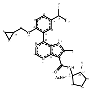 CC(=O)N[C@@]1(NC(=O)c2c(C)[nH]c3c(-c4cc(C(F)F)ccc4OCC4CC4)ncnc23)CCC[C@H]1C